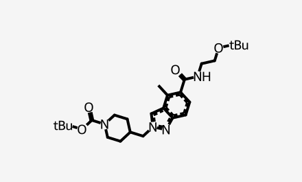 Cc1c(C(=O)NCCOC(C)(C)C)ccc2nn(CC3CCN(C(=O)OC(C)(C)C)CC3)cc12